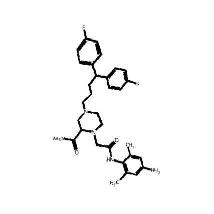 CNC(=O)C1CN(CCCC(c2ccc(F)cc2)c2ccc(F)cc2)CCN1CC(=O)Nc1c(C)cc(N)cc1C